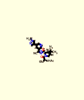 CC(=O)N[C@H](C(=O)N1C[C@H]2[C@@H]([C@H]1C(=O)NC(C#N)c1cncc(-c3cnn(C)c3)c1)C2(C)C)C(C)(C)C